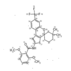 COc1ncnc(OC)c1C(=O)Nc1nc2c(s1)C1(CCCC(C)(C)C1)Oc1cc(C(F)(F)F)ccc1-2